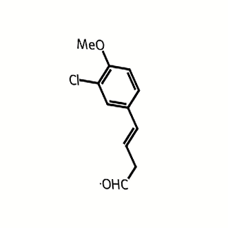 COc1ccc(C=CC[C]=O)cc1Cl